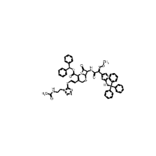 CON=C(C(=O)NC1C(=O)N2C(C(=O)OC(c3ccccc3)c3ccccc3)=C(C=CSc3nnnn3CCNC(C)=O)CSC12)c1csc(NC(c2ccccc2)(c2ccccc2)c2ccccc2)n1